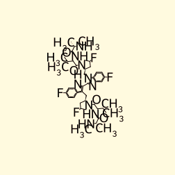 CN[C@@H](C)C(=O)N[C@H](C(=O)N1C[C@@H](F)C[C@H]1Cc1c(-c2nc3cc(F)ccc3n2C[C@@H]2C[C@H](F)CN2C(=O)[C@@H](NC(=O)[C@H](C)NC)C(C)C)[nH]c2cc(F)ccc12)C(C)C